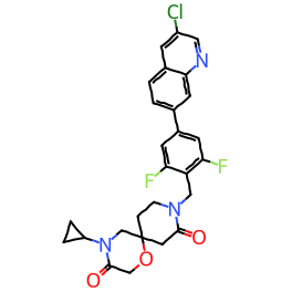 O=C1CC2(CCN1Cc1c(F)cc(-c3ccc4cc(Cl)cnc4c3)cc1F)CN(C1CC1)C(=O)CO2